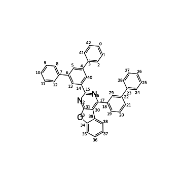 c1ccc(-c2cc(-c3ccccc3)cc(-c3nc(-c4cccc(-c5ccccc5)c4)c4c(n3)oc3ccccc34)c2)cc1